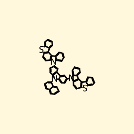 c1ccc2c(-n3c4ccc(-n5c6ccccc6c6c7c(ccc65)sc5ccccc57)cc4c4cc(-n5c6ccccc6c6c7c(ccc65)sc5ccccc57)ccc43)cccc2c1